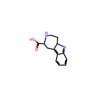 O=C(O)C1CC2=c3ccccc3=NC2CCN1